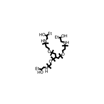 CCC(O)CNC(C)(C)CCOC(C)(C)CC(CC(C)(C)OCCC(C)(C)NCC(O)CC)C(C)(C)OCC(C)(C)NCC(O)CC